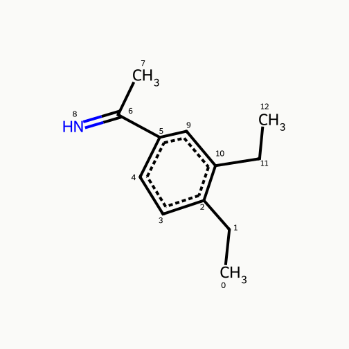 CCc1ccc(C(C)=N)cc1CC